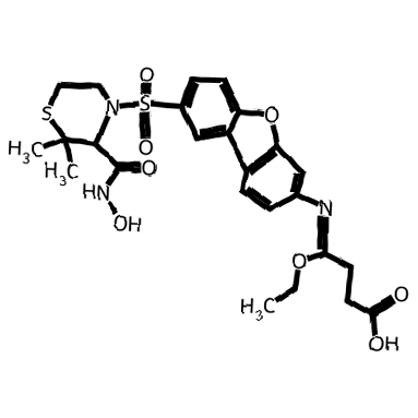 CCOC(CCC(=O)O)=Nc1ccc2c(c1)oc1ccc(S(=O)(=O)N3CCSC(C)(C)C3C(=O)NO)cc12